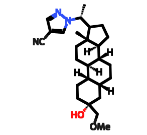 COC[C@@]1(O)CC[C@H]2[C@H](CC[C@@H]3[C@@H]2CC[C@]2(C)C([C@@H](C)n4cc(C#N)cn4)CC[C@@H]32)C1